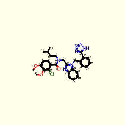 COc1ccc(C(=O)N(CCC(C)C)Cc2nc3ccccc3n2Cc2ccccc2-c2nnn[nH]2)c(Cl)c1OC